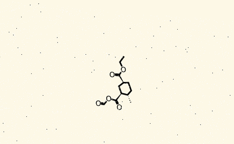 CCOC(=O)[C@H]1CC[C@H](C)[C@@H](C(=O)OC=O)C1